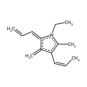 C=C/C=c1\c(=C)c(/C=C\C)c(C)n1CC